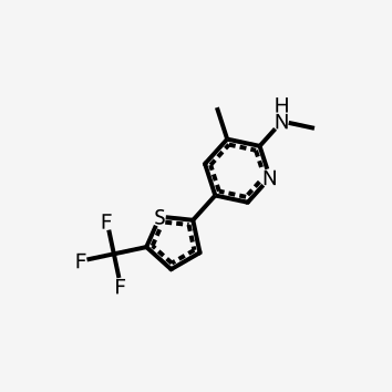 CNc1ncc(-c2ccc(C(F)(F)F)s2)cc1C